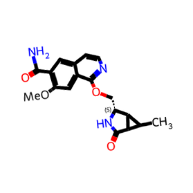 COc1cc2c(OC[C@H]3NC(=O)C4C(C)C43)nccc2cc1C(N)=O